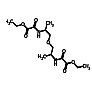 CCOC(=O)C(=O)NC(C)COCC(C)NC(=O)C(=O)OCC